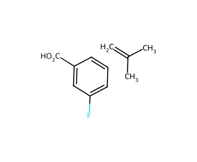 C=C(C)C.O=C(O)c1cccc(F)c1